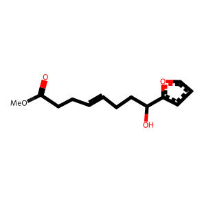 COC(=O)CCC=CCCC(O)c1ccco1